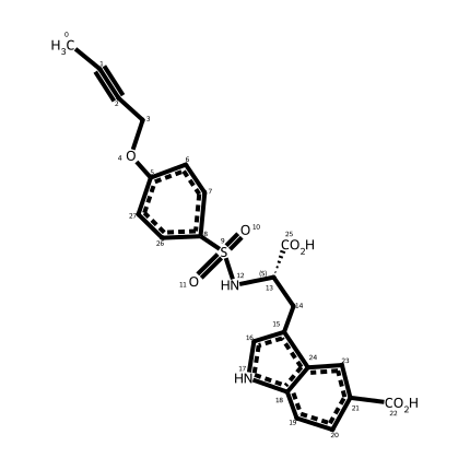 CC#CCOc1ccc(S(=O)(=O)N[C@@H](Cc2c[nH]c3ccc(C(=O)O)cc23)C(=O)O)cc1